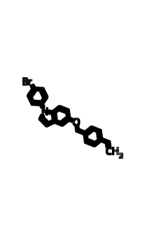 C=Cc1ccc(COc2ccc3c(ccn3-c3ccc(Br)cc3)c2)cc1